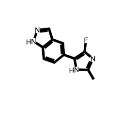 Cc1nc(F)c(-c2ccc3[nH]ncc3c2)[nH]1